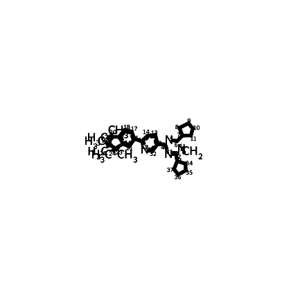 C=N/C(=N\C(=N/CC1CCCC1)c1ccc(-c2ccc3c(c2)C(C)(C)C(C)(C)C3(C)C)nc1)C1CCCC1